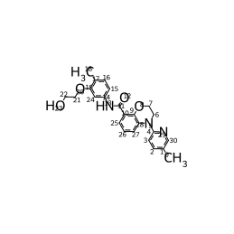 Cc1ccc(N2CCOc3c(C(=O)Nc4ccc(C)c(OCCO)c4)cccc32)nc1